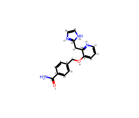 NC(=O)c1ccc(COc2cccnc2Cc2ncc[nH]2)cc1